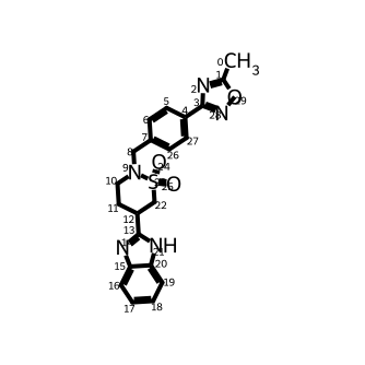 Cc1nc(-c2ccc(CN3CCC(c4nc5ccccc5[nH]4)CS3(=O)=O)cc2)no1